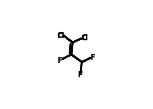 FC(=C(Cl)Cl)C(F)F